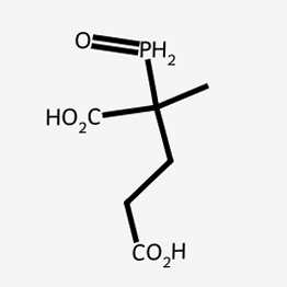 CC(CCC(=O)O)([PH2]=O)C(=O)O